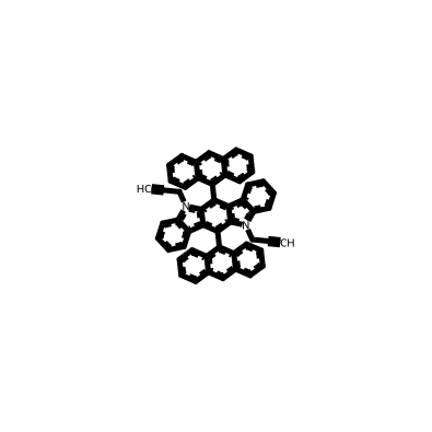 C#CCn1c2ccccc2c2c(-c3c4ccccc4cc4ccccc34)c3c(c(-c4c5ccccc5cc5ccccc45)c21)c1ccccc1n3CC#C